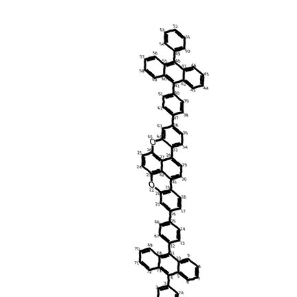 c1ccc(-c2c3ccccc3c(-c3ccc(-c4ccc5c(c4)Oc4ccc6c7c(ccc-5c47)-c4ccc(-c5ccc(-c7c8ccccc8c(-c8ccccc8)c8ccccc78)cc5)cc4O6)cc3)c3ccccc23)cc1